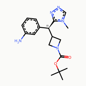 Cn1cnnc1[C@H](c1cccc(N)c1)C1CN(C(=O)OC(C)(C)C)C1